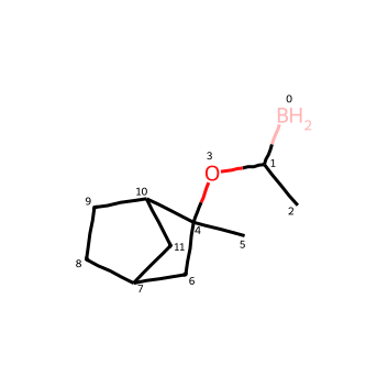 BC(C)OC1(C)CC2CCC1C2